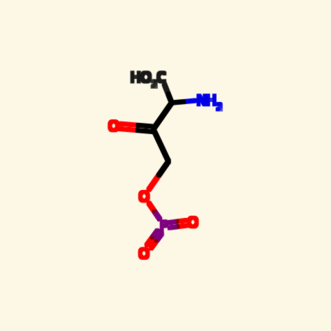 NC(C(=O)O)C(=O)COP(=O)=O